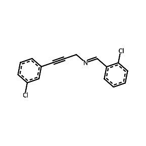 Clc1cccc(C#CCN=Cc2ccccc2Cl)c1